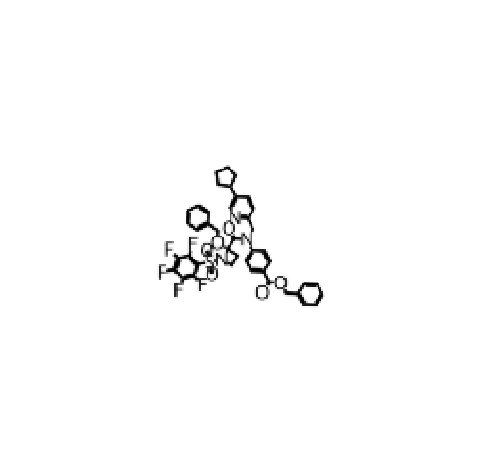 O=C(OCc1ccccc1)c1ccc(N(Cc2ccc(C3CCCC3)cn2)C(=O)[C@]2(OCc3ccccc3)CCN2S(=O)(=O)c2c(F)c(F)c(F)c(F)c2F)cc1